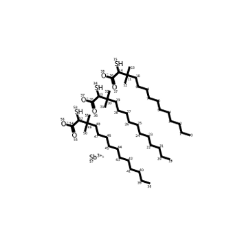 CCCCCCCCCCCC(C)(C)C(S)C(=O)[O-].CCCCCCCCCCCC(C)(C)C(S)C(=O)[O-].CCCCCCCCCCCC(C)(C)C(S)C(=O)[O-].[Sb+3]